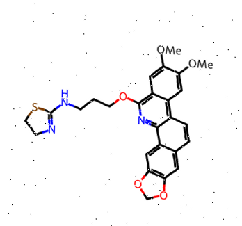 COc1cc2c(OCCCNC3=NCCS3)nc3c4cc5c(cc4ccc3c2cc1OC)OCO5